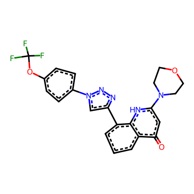 O=c1cc(N2CCOCC2)[nH]c2c(-c3cn(-c4ccc(OC(F)(F)F)cc4)nn3)cccc12